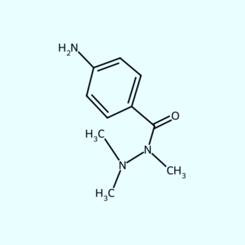 CN(C)N(C)C(=O)c1ccc(N)cc1